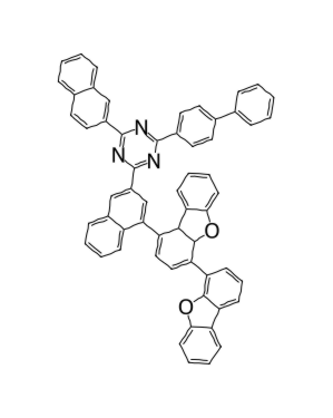 C1=C(c2cccc3c2oc2ccccc23)C2Oc3ccccc3C2C(c2cc(-c3nc(-c4ccc(-c5ccccc5)cc4)nc(-c4ccc5ccccc5c4)n3)cc3ccccc23)=C1